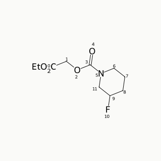 CCOC(=O)COC(=O)N1CCCC(F)C1